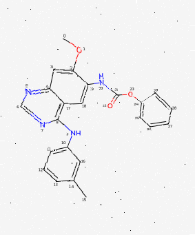 COc1cc2ncnc(Nc3cccc(C)c3)c2cc1NC(=O)Oc1ccccc1